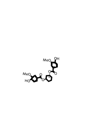 COc1cc(C(=O)O[C@@H]2CCC[C@@H](OC(=O)c3ccc(O)c(OC)c3)C2)ccc1O